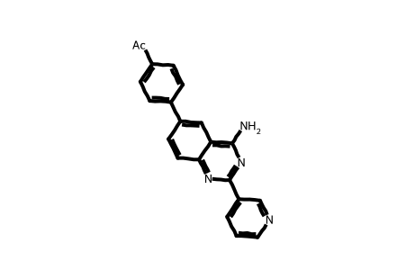 CC(=O)c1ccc(-c2ccc3nc(-c4cccnc4)nc(N)c3c2)cc1